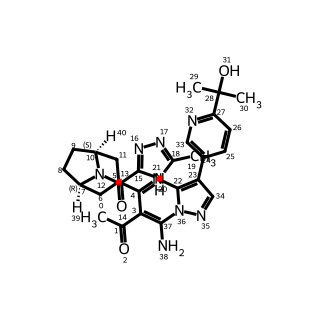 CC(=O)c1c(C2C[C@H]3CC[C@@H](C2)N3C(=O)c2nnc(C)[nH]2)nc2c(-c3ccc(C(C)(C)O)nc3)cnn2c1N